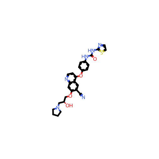 N#Cc1cc2c(Oc3ccc(NC(=O)Nc4nccs4)cc3)ccnc2cc1OC[C@@H](O)CN1CCCC1